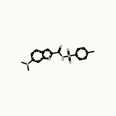 Cc1ccc(S(=O)(=O)NC(=O)c2cc3ccc(N(C)C)cc3o2)cc1